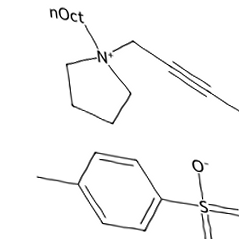 CCCCCCCC[N+]1(CC#CI)CCCC1.Cc1ccc(S(=O)(=O)[O-])cc1